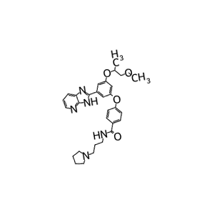 COCC(C)Oc1cc(Oc2ccc(C(=O)NCCCN3CCCC3)cc2)cc(-c2nc3cccnc3[nH]2)c1